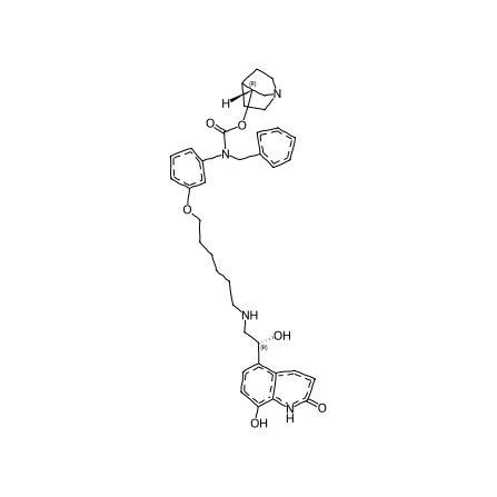 O=C(O[C@H]1CN2CCC1CC2)N(Cc1ccccc1)c1cccc(OCCCCCCNC[C@H](O)c2ccc(O)c3[nH]c(=O)ccc23)c1